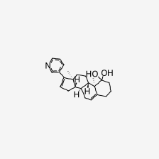 C[C@]12C(=CC[C@@H]3[C@@H]1CC[C@]1(C)C(c4cccnc4)=CC[C@@H]31)CCCC2(O)O